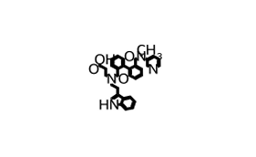 CN(C(=O)c1ccccc1-c1ccccc1C(=O)N(CCC(=O)O)CCc1c[nH]c2ccccc12)c1cccnc1